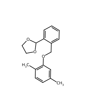 Cc1ccc(C)c(OCc2ccccc2C2OCCO2)c1